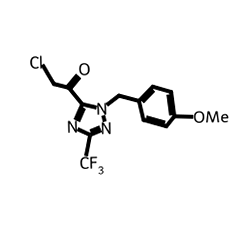 COc1ccc(Cn2nc(C(F)(F)F)nc2C(=O)CCl)cc1